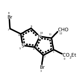 CCOC(=O)c1c(Br)c2sc(CBr)cn2c1C=O